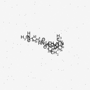 CNC(=O)c1ccc(C=CC(=O)NCC(=O)N(C)c2ccc(C)c(COc3cccc4ncc(C)nc34)c2C)cc1